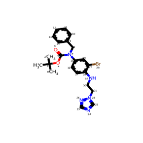 CC(C)(C)OC(=O)N(Cc1ccccc1)c1ccc(NCCn2cncn2)c(Br)c1